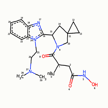 CCCCC(CC(=O)NO)C(=O)N1CC2(CC2)CC1c1nc2ccccc2n1CCN(C)C